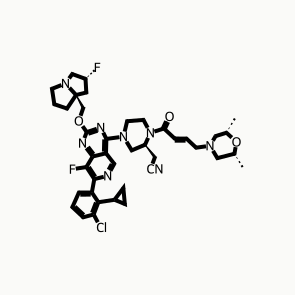 C[C@@H]1CN(C/C=C/C(=O)N2CCN(c3nc(OC[C@@]45CCCN4C[C@H](F)C5)nc4c(F)c(-c5cccc(Cl)c5C5CC5)ncc34)C[C@@H]2CC#N)C[C@H](C)O1